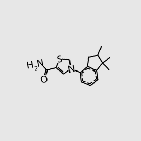 CC1Cc2c(N3C=C(C(N)=O)SC3)cccc2C1(C)C